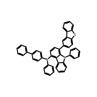 c1ccc(-c2ccc(N(c3ccccc3)c3ccc(-c4ccc5sc6ccccc6c5c4)c4c3c3ccccc3n4-c3ccccc3)cc2)cc1